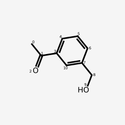 CC(=O)c1cccc(CO)c1